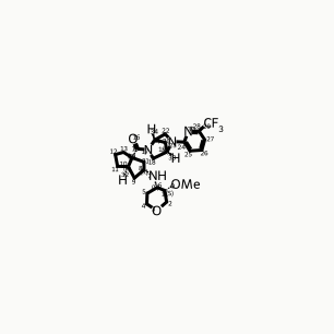 CO[C@@H]1COCC[C@@H]1N[C@@H]1C[C@H]2CCC[C@@]2(C(=O)N2C[C@@H]3C[C@H]2CN3c2cccc(C(F)(F)F)n2)C1